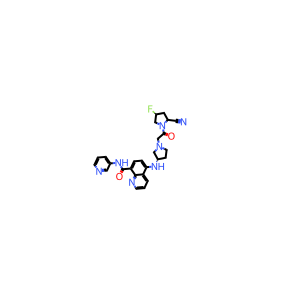 N#CC1C[C@H](F)CN1C(=O)CN1CC[C@H](Nc2ccc(C(=O)Nc3cccnc3)c3ncccc23)C1